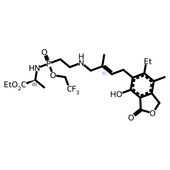 CCOC(=O)[C@H](C)NP(=O)(CCNC/C(C)=C/Cc1c(O)c2c(c(C)c1CC)COC2=O)OCC(F)(F)F